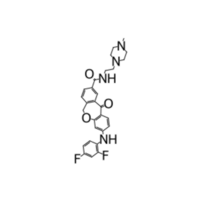 CN1CCN(CCNC(=O)c2ccc3c(c2)C(=O)c2ccc(Nc4ccc(F)cc4F)cc2OC3)CC1